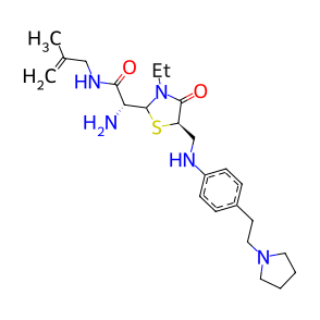 C=C(C)CNC(=O)[C@@H](N)C1S[C@H](CNc2ccc(CCN3CCCC3)cc2)C(=O)N1CC